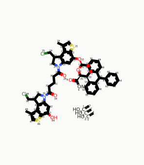 CC(=O)O.CC(=O)O.CC(=O)O.COC(=O)[C@H]1O[C@@H](Oc2cc3c(c4c(C)csc24)C(CCl)CN3C(=O)CCCC(=O)N2CC(CCl)c3c2cc(O)c2scc(C)c32)CC[C@H]1c1ccccc1C(c1ccccc1)c1ccccc1